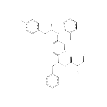 C[C@@H](O)[C@H](N)C(=O)N[C@@H](Cc1ccccc1)C(=O)N[C@@H](Cc1ccccc1)C(=O)N[C@@H](Cc1ccc(O)cc1)C(=O)O